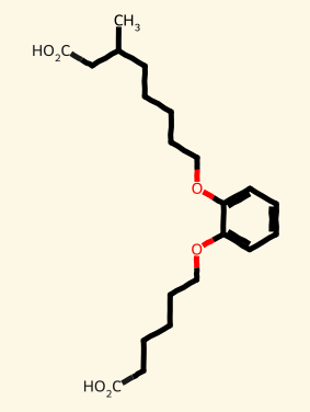 CC(CCCCCOc1ccccc1OCCCCCC(=O)O)CC(=O)O